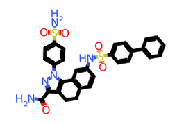 NC(=O)c1nn(-c2ccc(S(N)(=O)=O)cc2)c2c1CCc1ccc(NS(=O)(=O)c3ccc(-c4ccccc4)cc3)cc1-2